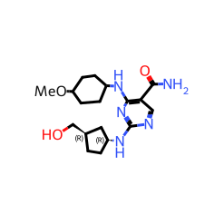 COC1CCC(Nc2nc(N[C@@H]3CC[C@@H](CO)C3)ncc2C(N)=O)CC1